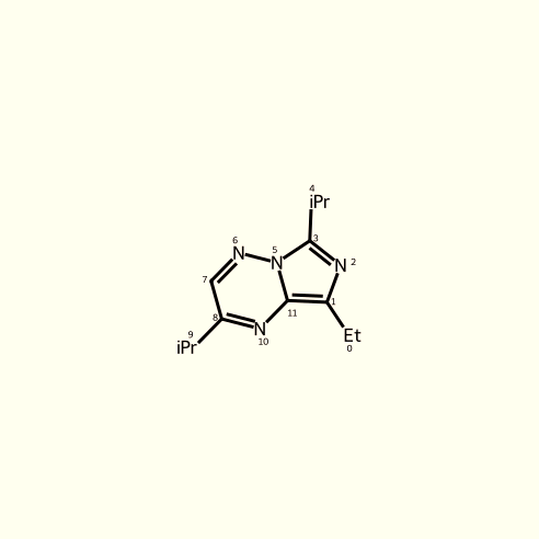 CCc1nc(C(C)C)n2ncc(C(C)C)nc12